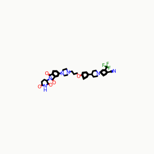 N#Cc1ccc(N2CCC(c3ccc(OCCCN4CCN(c5ccc6c(c5)C(=O)N(C5CCC(=O)NC5=O)C6=O)CC4)cc3)CC2)cc1C(F)(F)F